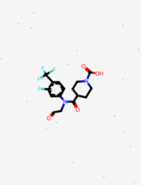 O=CCN(C(=O)C1CCN(C(=O)O)CC1)c1ccc(C(F)(F)F)c(F)c1